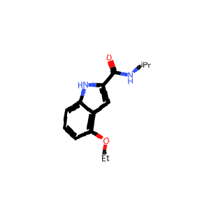 CCOc1cccc2[nH]c(C(=O)NC(C)C)cc12